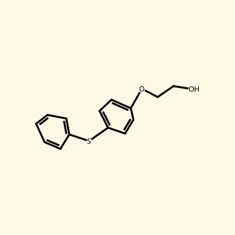 OCCOc1ccc(Sc2ccccc2)cc1